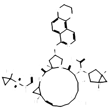 C[C@@H]1CC/C=C\[C@@H]2C[C@@]2(C(=O)NS(=O)(=O)C2(C)CC2)NC(=O)[C@@H]2C[C@@H](Oc3nccc4c5c(ccc34)OCCO5)CN2C(=O)[C@@H](N(C(=O)O)[C@@H]2C[C@H]3C[C@H]3C2)[C@H](C)C1